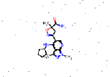 Cc1nn(C)c2ncc(C3=NOC(C)(C(N)=O)C3)c(NC3CCCC3)c12